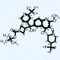 COc1nc2ccc(C(O)(c3ccnc(C(F)(F)F)c3)C3CN(C(=O)OC(C)(C)C)C3)cc2c(Cl)c1ON1CCC(C(F)(F)F)CC1